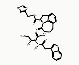 CC[C@H](C)[C@@H](C(=O)N[C@H]1CCc2cccc3c2N(C1=O)[C@H](C(=O)NCc1c[nH]nn1)C3)N(C)C(=O)Cc1csc2ccccc12